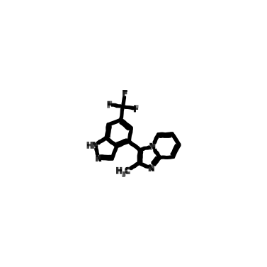 Cc1nc2ccccn2c1-c1cc(C(F)(F)F)cc2[nH]ncc12